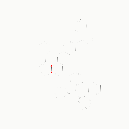 CC1CC=CC(N(c2ccc(-c3cccc4ccccc34)cc2)c2cccc(-c3ccc(-c4ccccc4)c4c3c3ccccc3n4-c3ccccc3)c2)=C1c1ccccc1